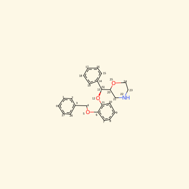 c1ccc(COc2ccccc2O[C@@H](c2ccccc2)C2CNCCO2)cc1